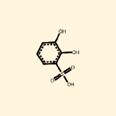 O=S(=O)(O)c1cccc(O)c1O